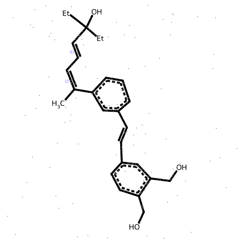 CCC(O)(/C=C/C=C(/C)c1cccc(C=Cc2ccc(CO)c(CO)c2)c1)CC